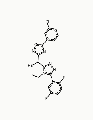 CCn1c(-c2cc(F)ccc2F)nnc1C(S)c1noc(-c2cccc(Cl)c2)n1